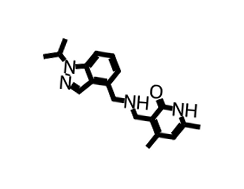 Cc1cc(C)c(CNCc2cccc3c2cnn3C(C)C)c(=O)[nH]1